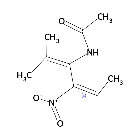 C/C=C(\C(NC(C)=O)=C(C)C)[N+](=O)[O-]